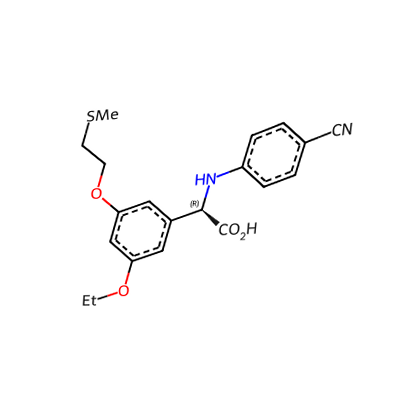 CCOc1cc(OCCSC)cc([C@@H](Nc2ccc(C#N)cc2)C(=O)O)c1